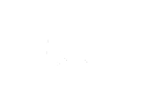 CCN(CCCN1CC[CH]CC1)Cc1ccc(Cl)c(Cl)c1